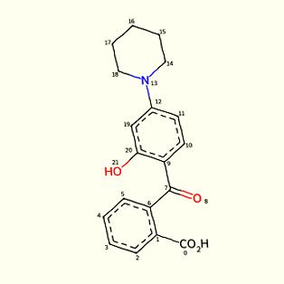 O=C(O)c1ccccc1C(=O)c1ccc(N2CCCCC2)cc1O